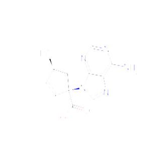 C[C@@H]1C=C[C@](C(=O)O)(n2cnc3c(N)ncnc32)C1